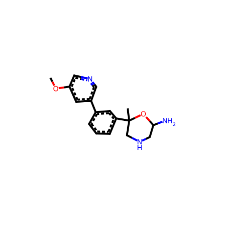 COc1cncc(-c2cccc(C3(C)CNCC(N)O3)c2)c1